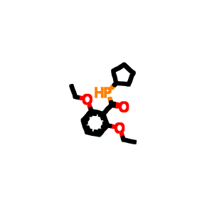 CCOc1cccc(OCC)c1C(=O)PC1CCCC1